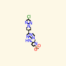 Cc1nc(S(C)(=O)=O)ccc1Nc1nccn2c(C3=CCN(c4ncc(Cl)cn4)CC3)cnc12